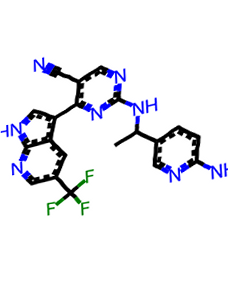 CC(Nc1ncc(C#N)c(-c2c[nH]c3ncc(C(F)(F)F)cc23)n1)c1ccc(N)nc1